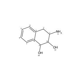 NC1Cc2ccccc2C(O)C1O